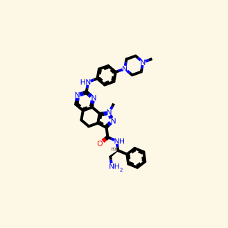 CN1CCN(c2ccc(Nc3ncc4c(n3)-c3c(c(C(=O)N[C@H](CN)c5ccccc5)nn3C)CC4)cc2)CC1